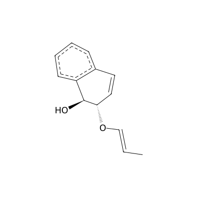 CC=CO[C@H]1C=Cc2ccccc2[C@@H]1O